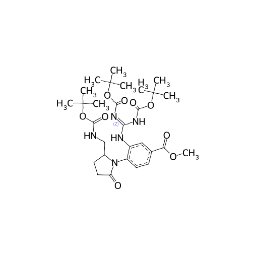 COC(=O)c1ccc(N2C(=O)CCC2CNC(=O)OC(C)(C)C)c(N/C(=N/C(=O)OC(C)(C)C)NC(=O)OC(C)(C)C)c1